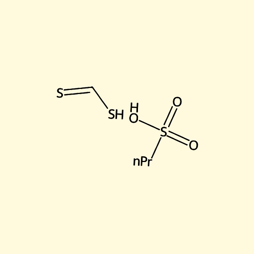 CCCS(=O)(=O)O.S=CS